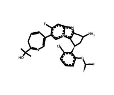 CC(C)(O)C1=NC=C(c2cn3c4c(nc3cc2F)C(N)C[C@H]4c2c(Cl)cccc2OC(F)F)C=CC1